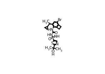 C[C@@H](c1cc(Br)c2c(c1NC(=O)NS(=N)(=O)c1cnc(C(C)(C)O)s1)CC2)C1CC1